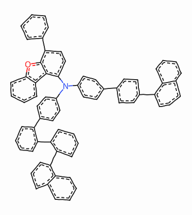 c1ccc(-c2ccc(N(c3ccc(-c4ccc(-c5cccc6ccccc56)cc4)cc3)c3ccc(-c4ccccc4-c4ccccc4-c4cccc5ccccc45)cc3)c3c2oc2ccccc23)cc1